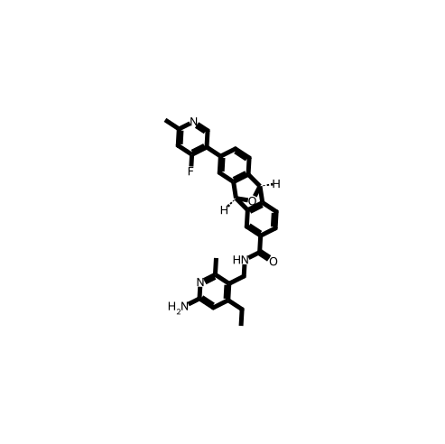 CCc1cc(N)nc(C)c1CNC(=O)c1ccc2c(c1)[C@@H]1O[C@H]2c2ccc(-c3cnc(C)cc3F)cc21